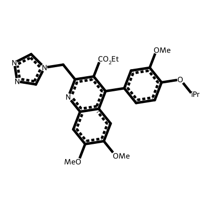 CCOC(=O)c1c(Cn2cnnc2)nc2cc(OC)c(OC)cc2c1-c1ccc(OC(C)C)c(OC)c1